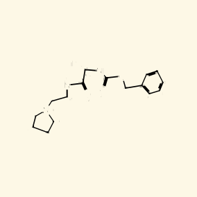 CC(C)[C@H](NC(=O)OCc1ccccc1)C(=O)NCCN1CCCC1